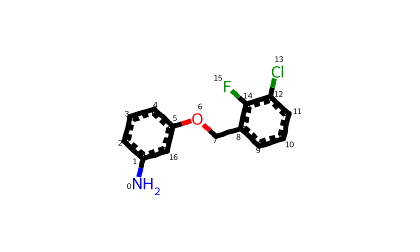 Nc1cccc(OCc2cccc(Cl)c2F)c1